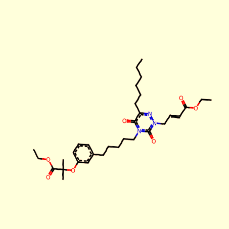 CCCCCCc1nn(C/C=C/C(=O)OCC)c(=O)n(CCCCCc2cccc(OC(C)(C)C(=O)OCC)c2)c1=O